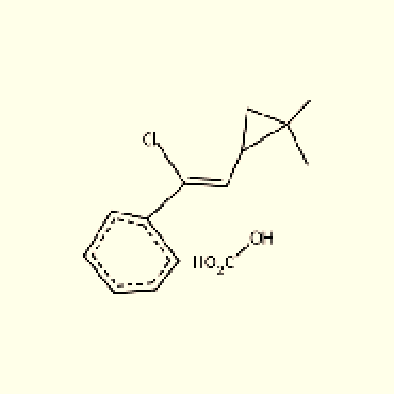 CC1(C)CC1C=C(Cl)c1ccccc1.O=C(O)O